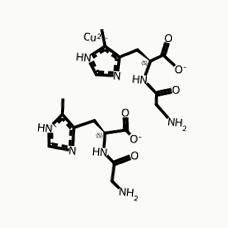 Cc1[nH]cnc1C[C@H](NC(=O)CN)C(=O)[O-].Cc1[nH]cnc1C[C@H](NC(=O)CN)C(=O)[O-].[Cu+2]